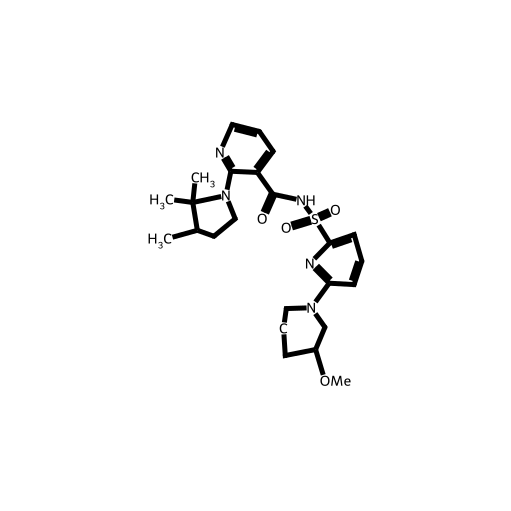 COC1CCCN(c2cccc(S(=O)(=O)NC(=O)c3cccnc3N3CCC(C)C3(C)C)n2)C1